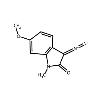 CN1C(=O)C(=[N+]=[N-])c2ccc(OC(F)(F)F)cc21